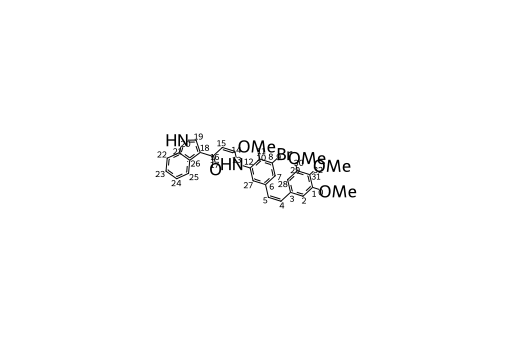 COc1cc(/C=C\c2cc(Br)c(OC)c(N/C=C\C(=O)c3c[nH]c4ccccc34)c2)cc(OC)c1OC